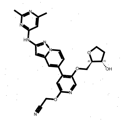 Cc1cc(Nc2cc3cc(-c4cc(OCC#N)ncc4OC[C@H]4OCC[C@@H]4O)ccn3n2)nc(C)n1